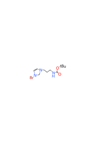 CC(C)(C)OC(=O)NCCCN1C=CN(Br)C1